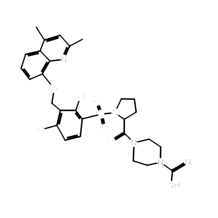 Cc1cc(C)c2cccc(OCc3c(Cl)ccc(S(=O)(=O)N4CCCC4C(=O)N4CCN(C(=N)N)CC4)c3Cl)c2n1